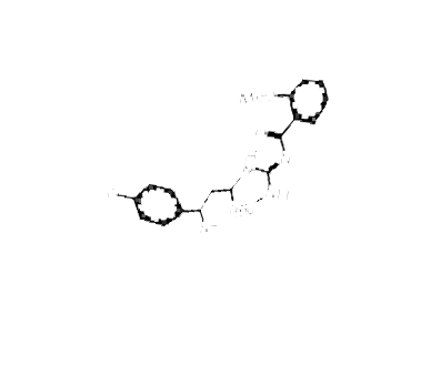 COc1ccccc1C(=O)/N=C(\NC(N)CC(N)c1ccc(F)cc1)NC(C)(C)C